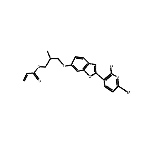 C=CC(=O)OCC(C)COc1ccc2cc(-c3ccc(CC)nc3CC)oc2c1